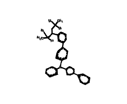 CCC(C)(CC)CC(c1cccc(-c2ccc(N(c3ccccc3)c3ccc(-c4ccccc4)cc3)cc2)c1)C(C)(CC)CC